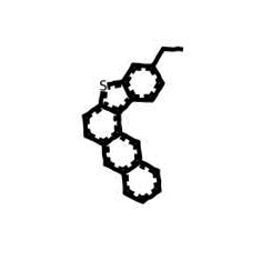 CCc1ccc2c(c1)sc1ccc3cc4ccccc4cc3c12